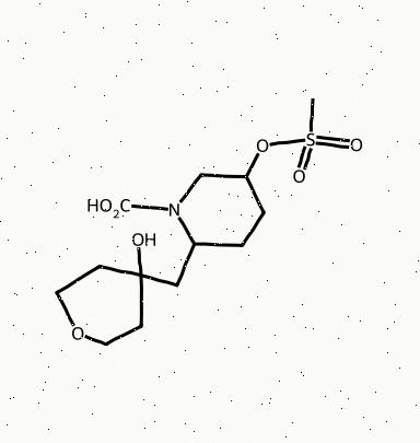 CS(=O)(=O)OC1CCC(CC2(O)CCOCC2)N(C(=O)O)C1